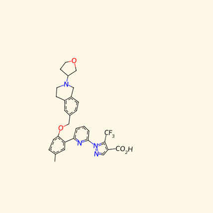 Cc1ccc(OCc2ccc3c(c2)CCN(C2CCOC2)C3)c(-c2cccc(-n3ncc(C(=O)O)c3C(F)(F)F)n2)c1